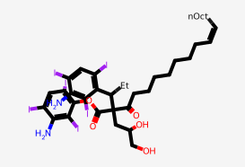 CCCCCCCC/C=C\CCCCCCCC(=O)C(CC(O)CO)(C(=O)Oc1c(I)cc(I)c(N)c1I)C(CC)c1c(I)cc(I)c(N)c1I